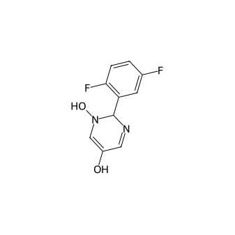 OC1=CN(O)C(c2cc(F)ccc2F)N=C1